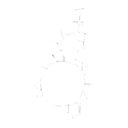 C=CC[C@](C)(NC(=O)[C@@H]1C[C@@H]2CN1C(=O)[C@H](CNC(=O)C=C)NC(=O)OCC(C)(C)CCCCc1cccc3c1CN(C3)C(=O)O2)C(=O)NS(=O)(=O)C1CC1